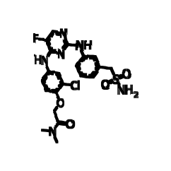 CN(C)C(=O)COc1ccc(Nc2nc(Nc3cccc(CS(N)(=O)=O)c3)ncc2F)cc1Cl